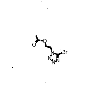 CC(=O)OCCn1nnnc1Br